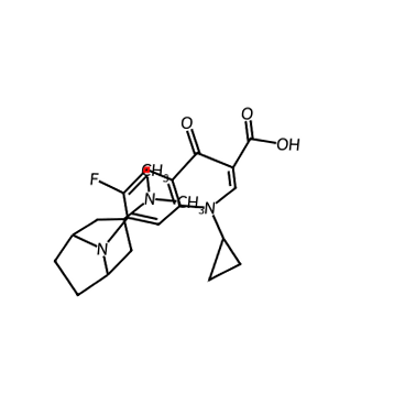 CN(C)C1CC2CCC(C1)N2c1cc2c(cc1F)c(=O)c(C(=O)O)cn2C1CC1